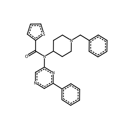 O=C(c1cccs1)N(c1cncc(-c2ccccc2)n1)C1CCN(Cc2ccccc2)CC1